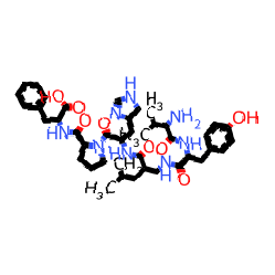 CC(C)CC(CNC(=O)C(Cc1ccc(O)cc1)NC(=O)C(N)C(C)C)C(=O)NC(CC1CNC=N1)C(=O)N1CCCC1C(=O)NC(Cc1ccccc1)C(=O)O